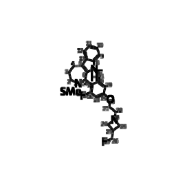 CSN1CCCc2c([nH]c3ccccc23)C1c1c(F)cc(OCCN2CC(CF)C2)cc1F